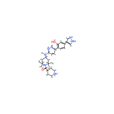 CN(c1ccc(-c2ccc(-c3cn[nH]c3)cc2O)nn1)C1CC(C)(C)N(C(=O)C2CCNCC2)C(C)(C)C1